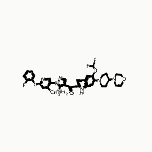 Cc1cc(Oc2ccccc2F)ncc1-n1ncc(C(=O)c2cc3cc(OC(F)F)c(N4CCC(N5CCOCC5)CC4)cc3[nH]2)c1N